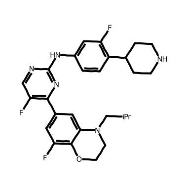 CC(C)CN1CCOc2c(F)cc(-c3nc(Nc4ccc(C5CCNCC5)c(F)c4)ncc3F)cc21